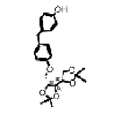 CC1(C)OC[C@H]([C@H]2OC(C)(C)O[C@@H]2COc2ccc(Cc3ccc(O)cc3)cc2)O1